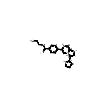 O=C(NCCO)c1ccc(-c2cn3c(-c4cccs4)cnc3cn2)cc1